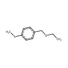 [CH2]COCc1ccc(SC)cc1